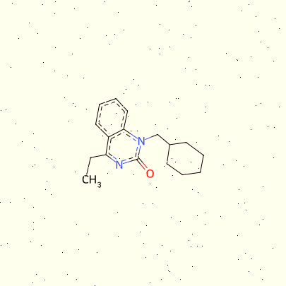 CCc1nc(=O)n(CC2CCCCC2)c2ccccc12